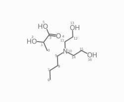 CC(O)C(=O)O.CCCCN(CCO)CCO